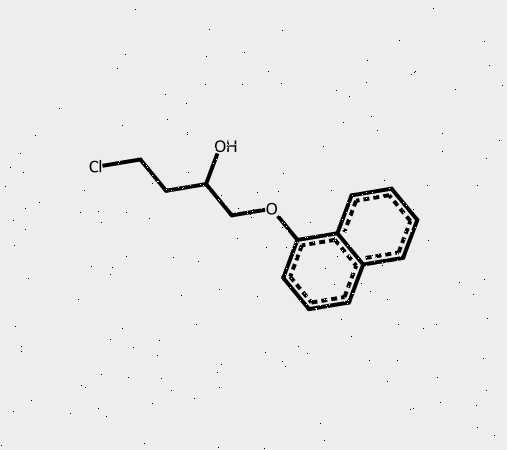 OC(CCCl)COc1cccc2ccccc12